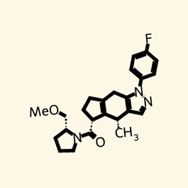 COC[C@H]1CCCN1C(=O)[C@@H]1CCC2=C1[C@@H](C)c1cnn(-c3ccc(F)cc3)c1C2